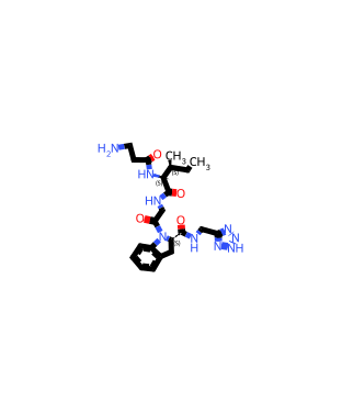 CC[C@H](C)[C@H](NC(=O)CCN)C(=O)NCC(=O)N1c2ccccc2C[C@H]1C(=O)NCc1nn[nH]n1